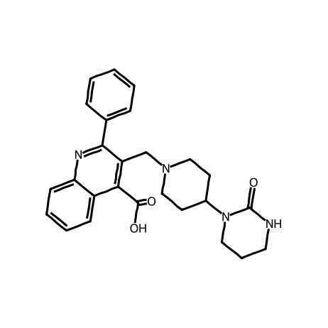 O=C(O)c1c(CN2CCC(N3CCCNC3=O)CC2)c(-c2ccccc2)nc2ccccc12